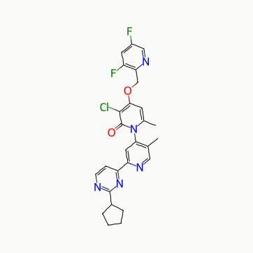 Cc1cnc(-c2ccnc(C3CCCC3)n2)cc1-n1c(C)cc(OCc2ncc(F)cc2F)c(Cl)c1=O